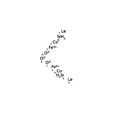 [Co].[Co].[Fe+3].[Fe+3].[La].[La].[O-2].[O-2].[O-2].[SrH2].[SrH2]